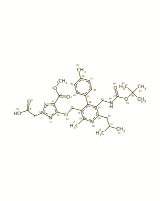 COC(=O)c1cn(CC(=O)O)nc1OCc1c(C)nc(CC(C)C)c(CNC(=O)OC(C)(C)C)c1-c1ccc(C)cc1